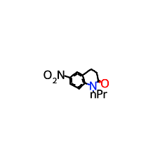 CCCN1C(=O)CCc2cc([N+](=O)[O-])ccc21